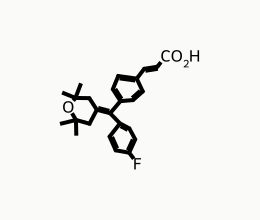 CC1(C)CC(=C(c2ccc(F)cc2)c2ccc(C=CC(=O)O)cc2)CC(C)(C)O1